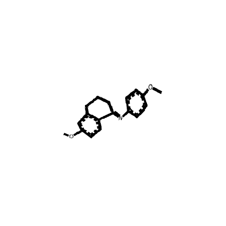 COc1ccc(N=C2CCCc3cc(OC)ccc32)cc1